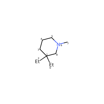 CCC1(CC)CCCN(C)C1